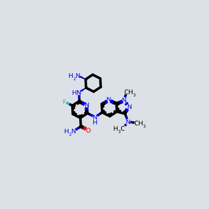 CN(C)c1nn(C)c2ncc(Nc3nc(N[C@@H]4CCCC[C@@H]4N)c(F)cc3C(N)=O)cc12